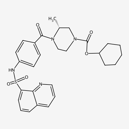 C[C@@H]1CN(C(=O)OC2CCCCC2)CCN1C(=O)c1ccc(NS(=O)(=O)c2cccc3cccnc23)cc1